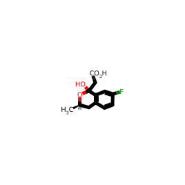 C[C@@H]1Cc2ccc(F)cc2C(O)(CC(=O)O)O1